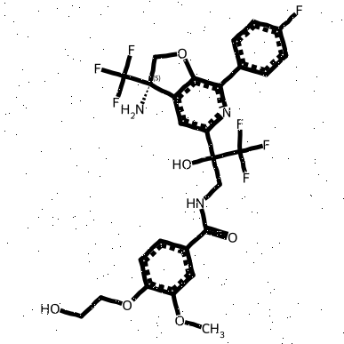 COc1cc(C(=O)NCC(O)(c2cc3c(c(-c4ccc(F)cc4)n2)OC[C@]3(N)C(F)(F)F)C(F)(F)F)ccc1OCCO